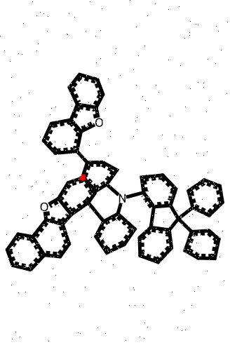 c1ccc(C2(c3ccccc3)c3ccccc3-c3c(N(c4ccc(-c5cccc6c5oc5ccccc56)cc4)c4ccccc4-c4cccc5oc6c7ccccc7ccc6c45)cccc32)cc1